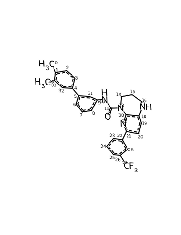 Cc1ccc(-c2cccc(NC(=O)N3CCCNc4ccc(-c5cccc(C(F)(F)F)c5)nc43)c2)cc1C